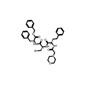 CC(C)C[C@H](NC(=O)[C@@H](CCc1ccccc1)NC(=O)CN1CCOCC1)C(=O)N[C@@H](Cc1ccccc1)C(=O)OCc1ccccc1